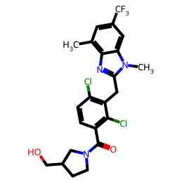 Cc1cc(C(F)(F)F)cc2c1nc(Cc1c(Cl)ccc(C(=O)N3CCC(CO)C3)c1Cl)n2C